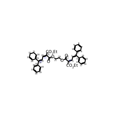 CCOC(=O)/C(=C/C=C(c1ccccc1)c1ccccc1)C(=O)OCCOC(=O)/C(=C\C=C(/C1=CCCC=C1)c1ccccc1)C(=O)OCC